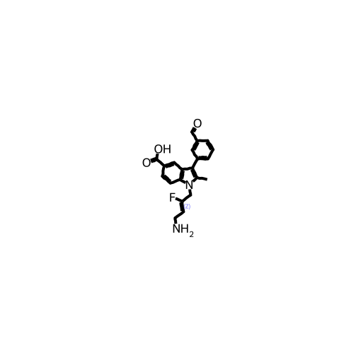 Cc1c(-c2cccc(C=O)c2)c2cc(C(=O)O)ccc2n1C/C(F)=C/CN